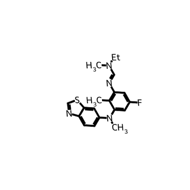 CCN(C)C=Nc1cc(F)cc(N(C)c2ccc3ncsc3c2)c1C